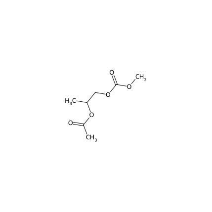 COC(=O)OCC(C)OC(C)=O